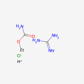 CCOC(N)=O.N=C(N)N.[Cl-].[H+]